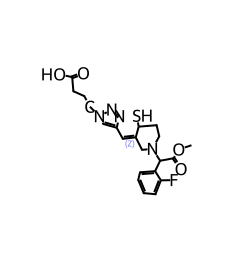 COC(=O)C(c1ccccc1F)N1CCC(S)/C(=C\c2cn(CCCC(=O)O)nn2)C1